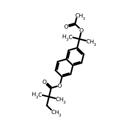 CCC(C)(C)C(=O)Oc1ccc2cc(C(C)(C)OC(C)=O)ccc2c1